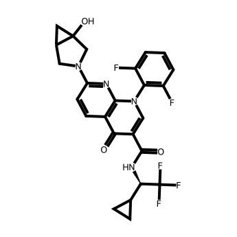 O=C(N[C@H](C1CC1)C(F)(F)F)c1cn(-c2c(F)cccc2F)c2nc(N3CC4CC4(O)C3)ccc2c1=O